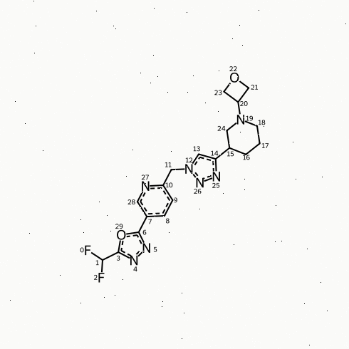 FC(F)c1nnc(-c2ccc(Cn3cc(C4CCCN(C5COC5)C4)nn3)nc2)o1